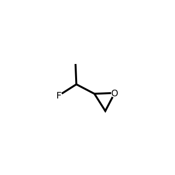 CC(F)C1CO1